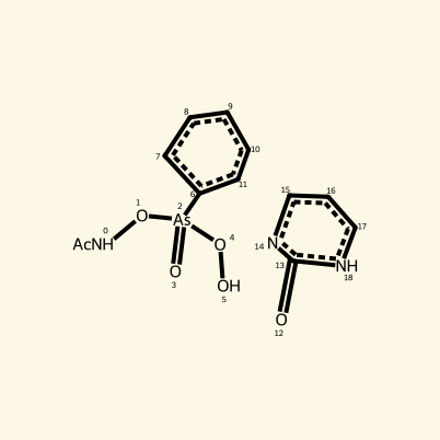 CC(=O)NO[As](=O)(OO)c1ccccc1.O=c1nccc[nH]1